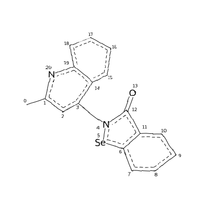 Cc1cc(-n2[se]c3ccccc3c2=O)c2ccccc2n1